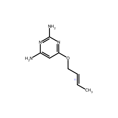 C/C=C/COc1cc(N)nc(N)n1